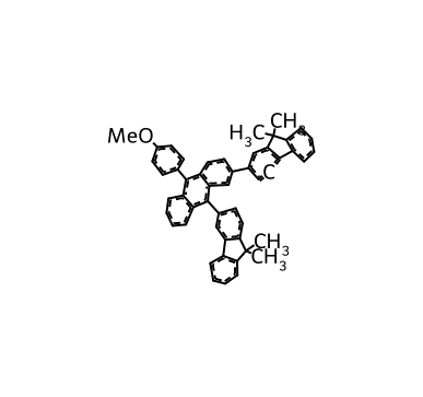 COc1ccc(-c2c3ccccc3c(-c3ccc4c(c3)-c3ccccc3C4(C)C)c3cc(-c4ccc5c(c4)C(C)(C)c4ccccc4-5)ccc23)cc1